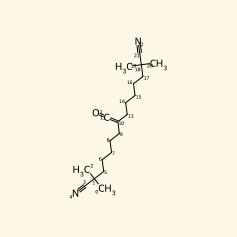 CC(C)(C#N)CCCCCC(=C=O)CCCCCC(C)(C)C#N